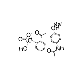 CC(=O)Nc1ccc(O)cc1.CC(=O)c1ccccc1Cl.O=C([O-])CO.[Na+]